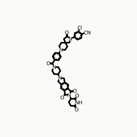 N#Cc1ccc(N2CC3(CCN(c4ccc(C(=O)N5CCC(N6Cc7cc8c(cc7C6)C(=O)N(C6CCC(=O)NC6=O)C8=O)CC5)cc4)CC3)CC2=O)cc1Cl